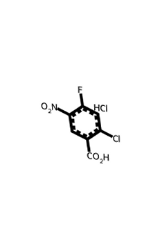 Cl.O=C(O)c1cc([N+](=O)[O-])c(F)cc1Cl